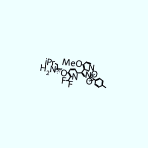 COc1ccnc2c1c(-c1ccc(OC[C@@](C)(N)CC(C)C)c(C(F)F)n1)cn2S(=O)(=O)c1ccc(C)cc1